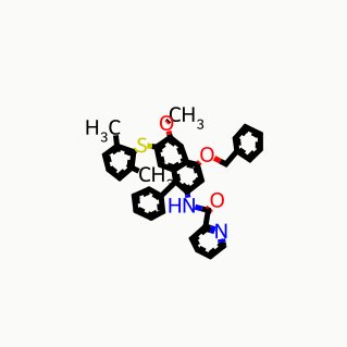 COc1cc2c(OCc3ccccc3)cc(NC(=O)c3ccccn3)c(-c3ccccc3)c2cc1Sc1c(C)cccc1C